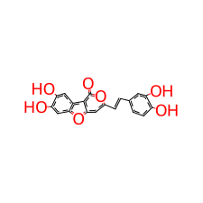 O=c1oc(/C=C/c2ccc(O)c(O)c2)cc2oc3cc(O)c(O)cc3c12